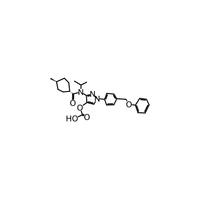 CC(C)N(c1nn(-c2ccc(COc3ccccc3)cc2)cc1OC(=O)O)C(=O)[C@H]1CC[C@H](C)CC1